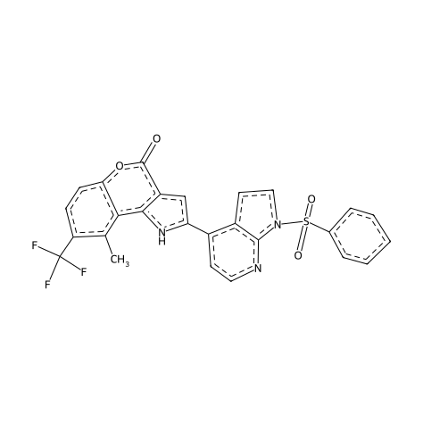 Cc1c(C(F)(F)F)ccc2oc(=O)c3cc(-c4ccnc5c4ccn5S(=O)(=O)c4ccccc4)[nH]c3c12